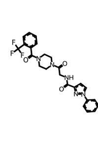 O=C(NCC(=O)N1CCN(C(=O)c2ccccc2C(F)(F)F)CC1)c1ccn(-c2ccccc2)n1